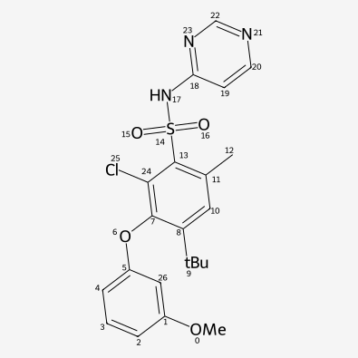 COc1cccc(Oc2c(C(C)(C)C)cc(C)c(S(=O)(=O)Nc3ccncn3)c2Cl)c1